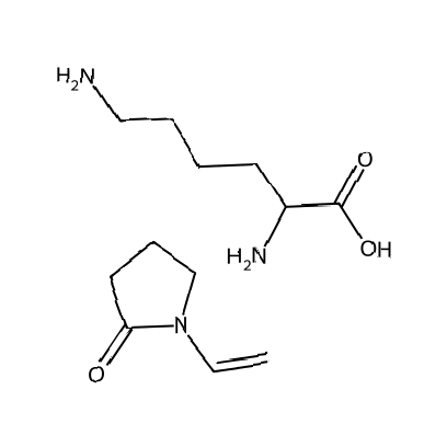 C=CN1CCCC1=O.NCCCCC(N)C(=O)O